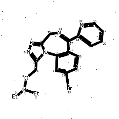 CCN(CC)OCc1nnc2n1-c1cc(Br)ccc1C(c1ccccn1)=NC2